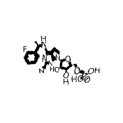 C[C@@H](Nc1nc(C#N)nc2c1ccn2[C@@H]1O[C@H](COCP(=O)(O)O)[C@@H](O)[C@H]1O)c1ccccc1F